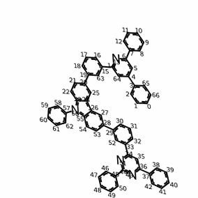 c1ccc(-c2cc(-c3ccccc3)nc(-c3cccc(-c4ccc5c(c4)c4cc(-c6cccc(-c7cc(-c8ccccc8)nc(-c8ccccc8)n7)c6)ccc4n5-c4ccccc4)c3)c2)cc1